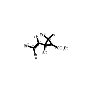 CCOC(=O)C1C(C)(CC)C1(CC)C(F)=C(Br)Br